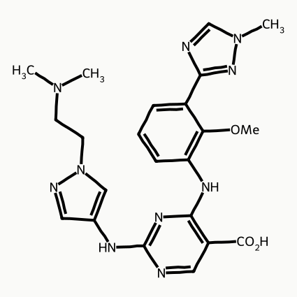 COc1c(Nc2nc(Nc3cnn(CCN(C)C)c3)ncc2C(=O)O)cccc1-c1ncn(C)n1